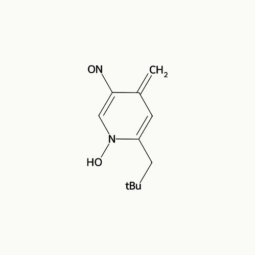 C=C1C=C(CC(C)(C)C)N(O)C=C1N=O